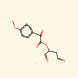 COc1ccc(C(=O)C(=O)OC(C=O)CC=O)cc1